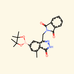 Cc1cc(B2OC(C)(C)C(C)(C)O2)cc2c(CN3C(=O)c4ccccc4C3=O)n[nH]c(=O)c12